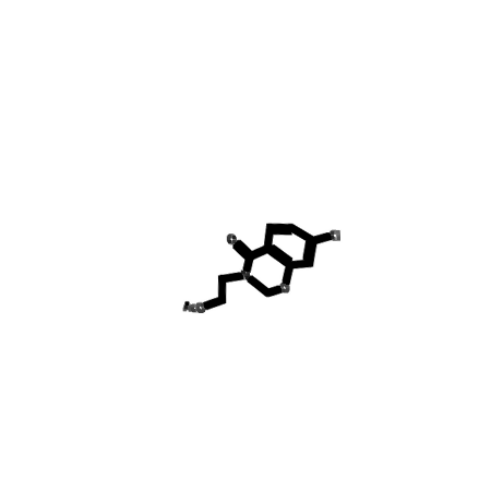 CC(=O)OCCN1COc2cc(Cl)ccc2C1=O